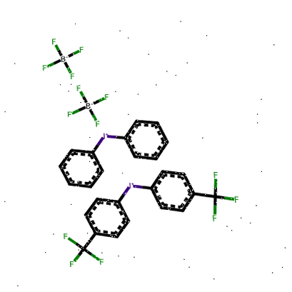 FC(F)(F)c1ccc([I+]c2ccc(C(F)(F)F)cc2)cc1.F[B-](F)(F)F.F[B-](F)(F)F.c1ccc([I+]c2ccccc2)cc1